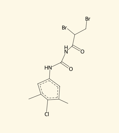 Cc1cc(NC(=O)NC(=O)C(Br)CBr)cc(C)c1Cl